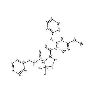 CC(C)(C)OC(=O)N[C@@H](Cc1ccccc1)[C@H](O)C(=O)N1CSC(C)(C)C1C(=O)NCc1ccccc1